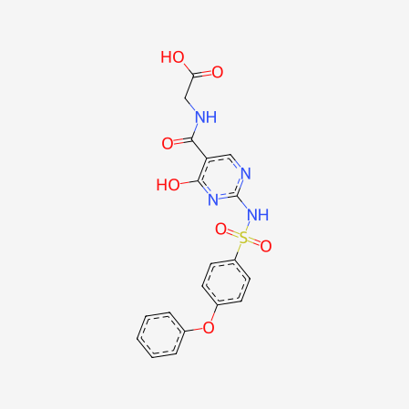 O=C(O)CNC(=O)c1cnc(NS(=O)(=O)c2ccc(Oc3ccccc3)cc2)nc1O